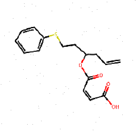 C=CCC(CCSc1ccccc1)OC(=O)/C=C\C(=O)O